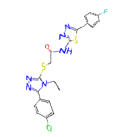 CCn1c(SCC(=O)Nc2nnc(-c3ccc(F)cc3)s2)nnc1-c1ccc(Cl)cc1